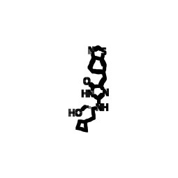 O=C1NC(N[C@@H](CO)CC2CCC2)=NC1=Cc1ccc2ncsc2c1